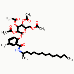 CCCCCCCCCCCCC(C)NC(=O)c1cc(C)ccc1O[C@@H]1OC(COC(C)=O)[C@H](OC(C)=O)C(OC(C)=O)C1OC(C)=O